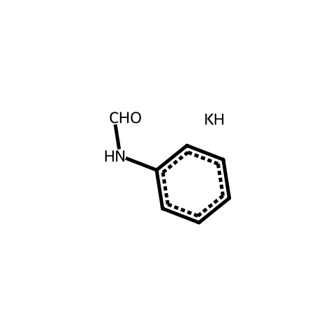 O=CNc1ccccc1.[KH]